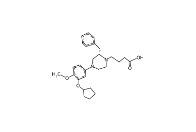 COc1ccc(N2CCN(CCCC(=O)O)[C@@H](Cc3ccccc3)C2)cc1OC1CCCC1